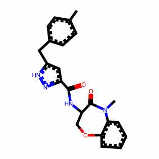 Cc1ccc(Cc2cc(C(=O)NC3COc4ccccc4N(C)C3=O)n[nH]2)cc1